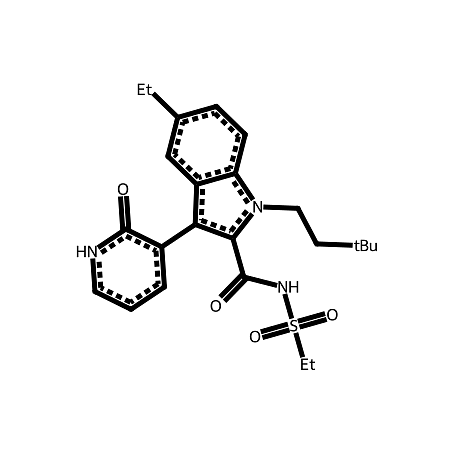 CCc1ccc2c(c1)c(-c1ccc[nH]c1=O)c(C(=O)NS(=O)(=O)CC)n2CCC(C)(C)C